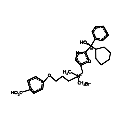 C[N+](C)(CCCOc1ccc(C(=O)O)cc1)Cc1cnc([C@](O)(c2ccccc2)C2CCCCC2)o1.[Br-]